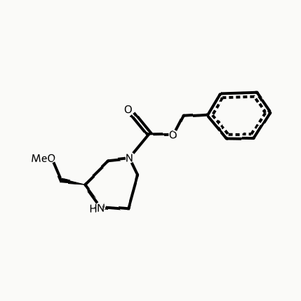 COC[C@H]1CN(C(=O)OCc2ccccc2)CCN1